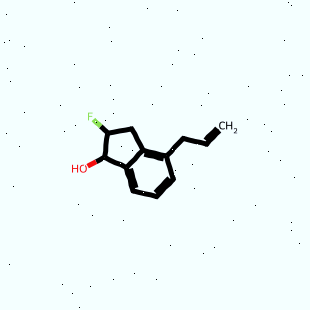 C=CCc1cccc2c1CC(F)C2O